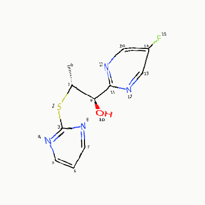 C[C@@H](Sc1ncccn1)[C@H](O)c1ncc(F)cn1